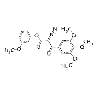 COc1cccc(OC(=O)C(=[N+]=[N-])C(=O)c2cc(OC)c(OC)c(OC)c2)c1